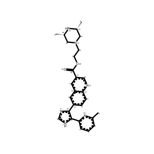 Cc1cccc(-c2[nH]cnc2-c2ccc3ncc(C(=O)OCCN4C[C@@H](C)N[C@@H](C)C4)cc3c2)n1